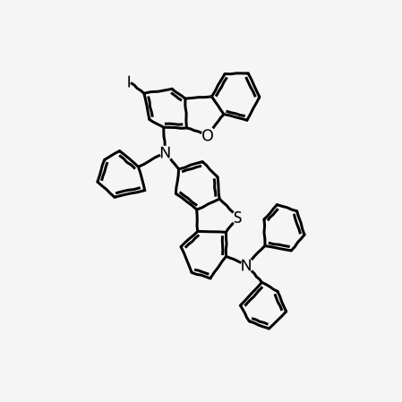 Ic1cc(N(c2ccccc2)c2ccc3sc4c(N(c5ccccc5)c5ccccc5)cccc4c3c2)c2oc3ccccc3c2c1